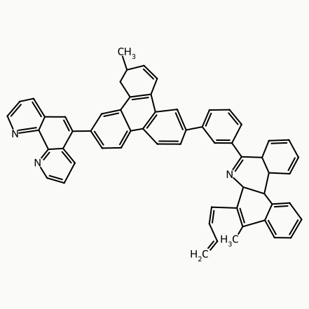 C=C/C=C\C1=C(C)c2ccccc2C2C1N=C(c1cccc(-c3ccc4c(c3)c3c(c5cc(-c6cc7cccnc7c7ncccc67)ccc54)CC(C)C=C3)c1)C1C=CC=CC12